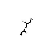 C=CC(=O)OCC(O)CC(C)C